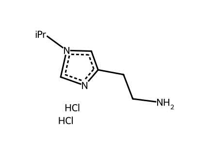 CC(C)n1cnc(CCN)c1.Cl.Cl